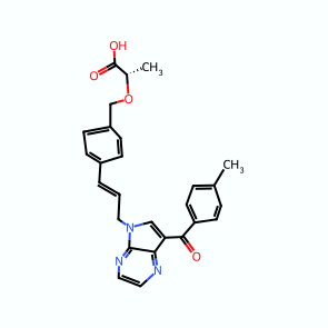 Cc1ccc(C(=O)c2cn(C/C=C/c3ccc(CO[C@@H](C)C(=O)O)cc3)c3nccnc23)cc1